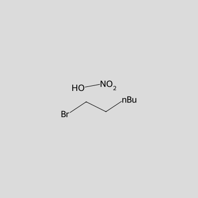 CCCCCCBr.O=[N+]([O-])O